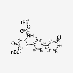 CCCCOC(=O)CC(Cc1ccc(-c2cccc(Cl)c2)cc1)NC(=O)OC(C)(C)C